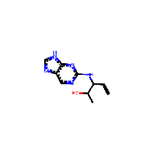 C=CC(Nc1ncc2nc[nH]c2n1)C(C)O